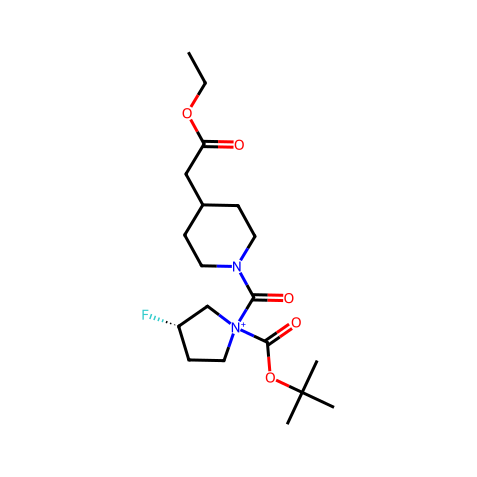 CCOC(=O)CC1CCN(C(=O)[N+]2(C(=O)OC(C)(C)C)CC[C@H](F)C2)CC1